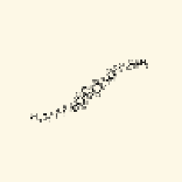 CCCCCCCCCOc1ccc(C(=O)Oc2ccc(CCC3CCC(CCCCCCC)CC3)cc2)cc1